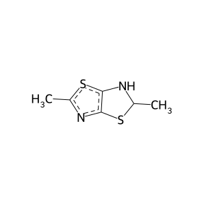 Cc1nc2c(s1)NC(C)S2